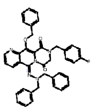 O=C1c2c(OCc3ccccc3)c3ncccc3/c(=N/N(Cc3ccccc3)Cc3ccccc3)n2C(=O)CN1Cc1ccc(F)cc1